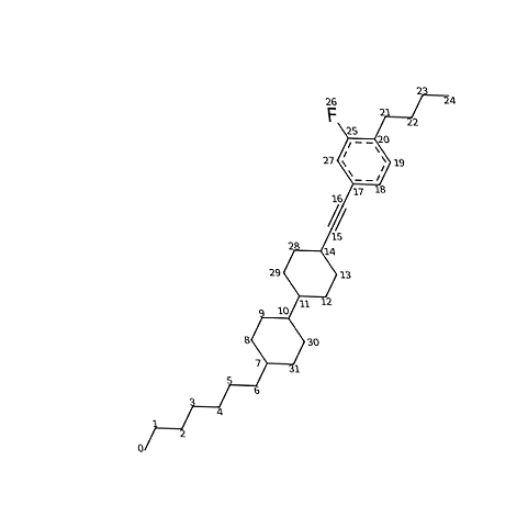 CCCCCCCC1CCC(C2CCC(C#Cc3ccc(CCCC)c(F)c3)CC2)CC1